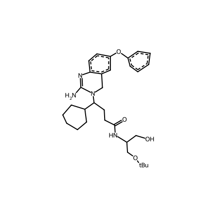 CC(C)(C)OCC(CO)NC(=O)CCC(C1CCCCC1)N1Cc2cc(Oc3ccccc3)ccc2N=C1N